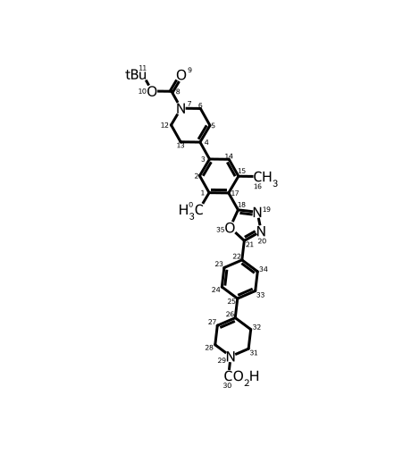 Cc1cc(C2=CCN(C(=O)OC(C)(C)C)CC2)cc(C)c1-c1nnc(-c2ccc(C3=CCN(C(=O)O)CC3)cc2)o1